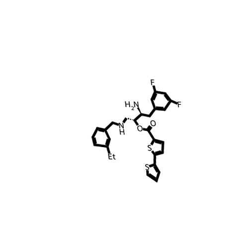 CCc1cccc(CNC[C@@H](OC(=O)c2ccc(-c3cccs3)s2)[C@@H](N)Cc2cc(F)cc(F)c2)c1